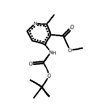 COC(=O)c1c(NC(=O)OC(C)(C)C)ccnc1C